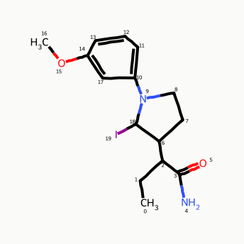 CCC(C(N)=O)C1CCN(c2cccc(OC)c2)C1I